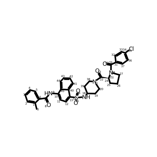 Cc1ccccc1C(=O)Nc1ccc(S(=O)(=O)NC2CCN(C(=O)[C@@H]3CCCN3C(=O)c3ccc(Cl)cc3)CC2)c2ccccc12